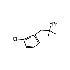 CCCC(C)(C)Cc1cccc(Cl)c1